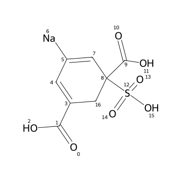 O=C(O)C1=C[C]([Na])=CC(C(=O)O)(S(=O)(=O)O)C1